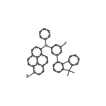 CC1(C)c2ccccc2-c2c(-c3cc(F)cc(N(c4ccccc4)c4ccc5ccc6c(Br)ccc7ccc4c5c76)c3)cccc21